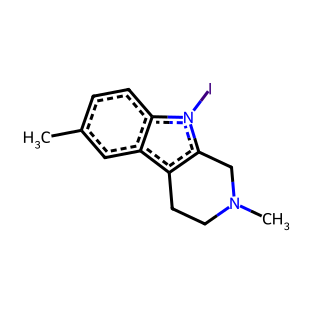 Cc1ccc2c(c1)c1c(n2I)CN(C)CC1